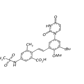 COc1c(C=Cc2c(C)cc(NS(C)(=O)=O)cc2C(=O)O)cc(-n2ccc(=O)[nH]c2=O)cc1C(C)(C)C